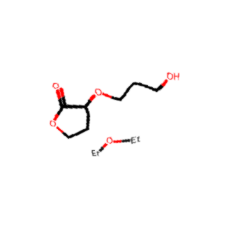 CCOCC.O=C1OCCC1OCCCO